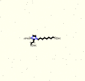 CCCCCCCCCCCCCCCCCCN1C=CN(CCCCCC)C1CCCCCCCCCCCC